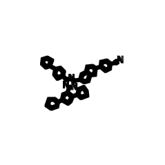 N#Cc1ccc(-c2ccc3cc(-c4nc(-c5ccc(-c6ccccc6)cc5)nc(-c5cc(-c6ccccc6)ccc5-c5ccccc5)n4)ccc3c2)cc1